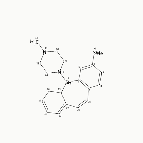 CSc1ccc2c(c1)[SH](N1CCN(C)CC1)C1CC=CC=C1C=C2